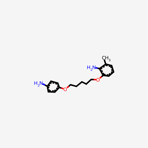 Cc1cccc(OCCCCCOc2ccc(N)cc2)c1N